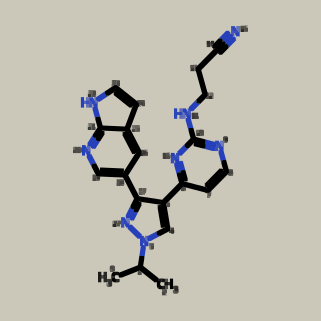 CC(C)n1cc(-c2ccnc(NCCC#N)n2)c(-c2cnc3[nH]ccc3c2)n1